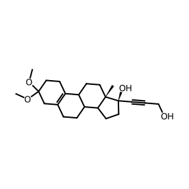 COC1(OC)CCC2=C(CCC3C2CC[C@@]2(C)C3CC[C@@]2(O)C#CCO)C1